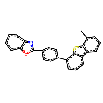 Cc1cccc2c1sc1c(-c3ccc(-c4nc5ccccc5o4)cc3)cccc12